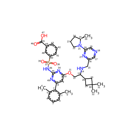 Cc1cccc(C)c1-c1cc(OCC(NCc2cncc(N3CCC[C@H]3C)n2)C2CC(C)(C)C2)nc(NS(=O)(=O)c2cccc(C(=O)O)c2)n1